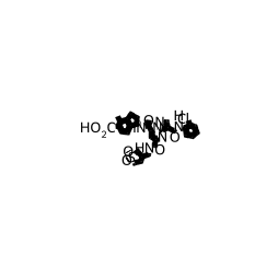 Cc1c(C(=O)O)ccc2c1CC[C@@H]2NC(=O)c1cc(C(=O)NCC2CCS(=O)(=O)C2)nc2c(C(=O)Nc3ccccc3Cl)cnn12